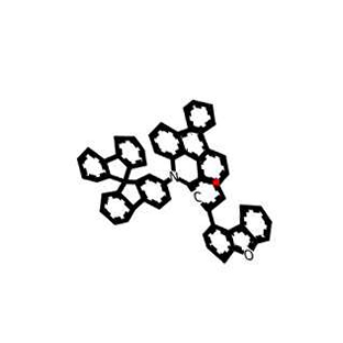 c1cc(-c2cccc3oc4ccccc4c23)cc(N(c2ccc3c(c2)C2(c4ccccc4-c4ccccc42)c2ccccc2-3)c2cccc3c4ccccc4c4ccccc4c23)c1